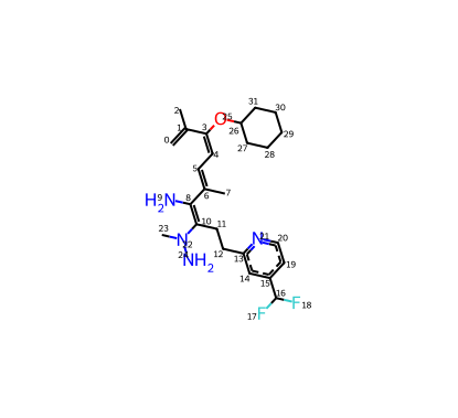 C=C(C)\C(=C/C=C(C)/C(N)=C(\CCc1cc(C(F)F)ccn1)N(C)N)OC1CCCCC1